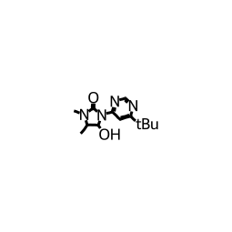 CC1C(O)N(c2cc(C(C)(C)C)ncn2)C(=O)N1C